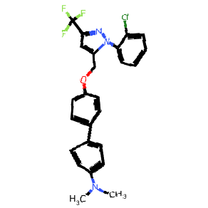 CN(C)c1ccc(-c2ccc(OCc3cc(C(F)(F)F)nn3-c3ccccc3Cl)cc2)cc1